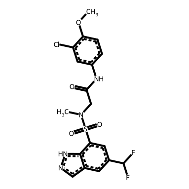 COc1ccc(NC(=O)CN(C)S(=O)(=O)c2cc(C(F)F)cc3cn[nH]c23)cc1Cl